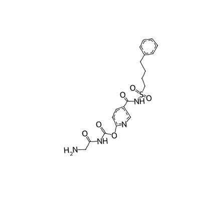 NCC(=O)NC(=O)Oc1ccc(C(=O)NS(=O)(=O)CCCCc2ccccc2)cn1